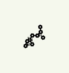 c1ccc(-c2ccc3c(c2)c2cc(-c4cccc(-c5nc(-c6ccccc6)c6c(ccc7c8ccccc8oc76)n5)c4)ccc2n3-c2ccccc2)cc1